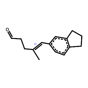 C/C(=C\c1ccc2c(c1)CCC2)CCC=O